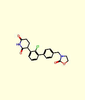 O=C1CCC(c2cccc(-c3ccc(CN4CCOC4=O)cc3)c2Cl)C(=O)N1